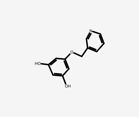 Oc1[c]c(OCc2cccnc2)cc(O)c1